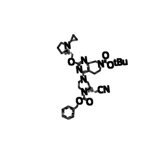 CC(C)(C)OC(=O)N1CCc2c(nc(OC[C@@H]3CCCN3C3CC3)nc2N2CCN(C(=O)OCc3ccccc3)[C@@H](CC#N)C2)C1